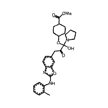 COC(=O)C1CCC(OC(O)(C(=O)Cc2ccc3nc(Nc4ccccc4C)oc3c2)N2CCCC2)CC1